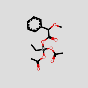 CC[Si](OC(C)=O)(OC(C)=O)OC(=O)C(OC)c1ccccc1